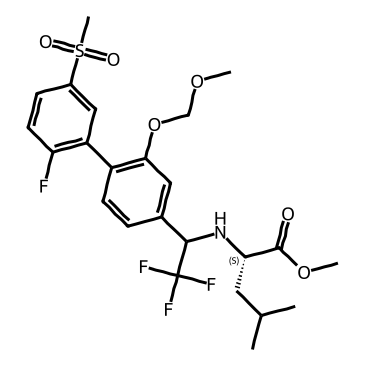 COCOc1cc(C(N[C@@H](CC(C)C)C(=O)OC)C(F)(F)F)ccc1-c1cc(S(C)(=O)=O)ccc1F